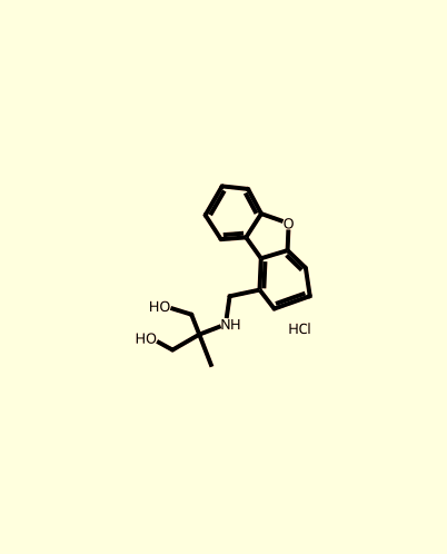 CC(CO)(CO)NCc1cccc2oc3ccccc3c12.Cl